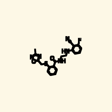 Cc1noc(CSc2ccccc2C(=O)NCCNc2cccc(F)c2C#N)n1